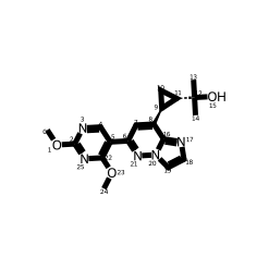 COc1ncc(-c2cc([C@H]3C[C@@H]3C(C)(C)O)c3nccn3n2)c(OC)n1